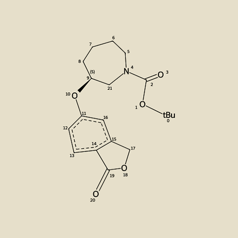 CC(C)(C)OC(=O)N1CCCC[C@H](Oc2ccc3c(c2)COC3=O)C1